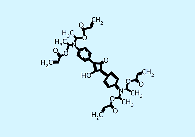 C=CC(=O)OC(C)N(c1ccc(C2=C(O)C(=C3C=CC(=[N+](C(C)OC(=O)C=C)C(C)OC(=O)C=C)C=C3)C2=O)cc1)C(C)OC(=O)C=C